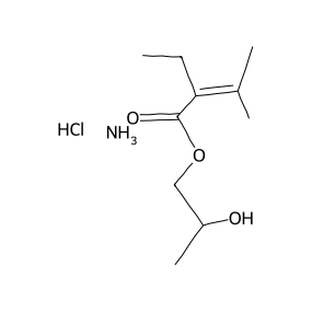 CCC(C(=O)OCC(C)O)=C(C)C.Cl.N